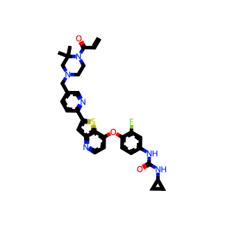 C=CC(=O)N1CCN(Cc2ccc(-c3cc4nccc(Oc5ccc(NC(=O)NC6CC6)cc5F)c4s3)nc2)CC1(C)C